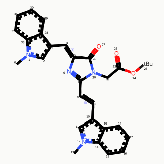 Cn1cc(/C=C2N=C(/C=C/c3cn(C)c4ccccc34)N(CC(=O)OC(C)(C)C)C\2=O)c2ccccc21